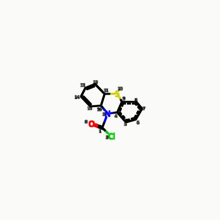 O=C(Cl)N1c2ccccc2SC2C=CC=CC21